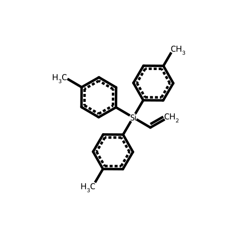 C=C[Si](c1ccc(C)cc1)(c1ccc(C)cc1)c1ccc(C)cc1